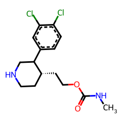 CNC(=O)OCC[C@@H]1CCNCC1c1ccc(Cl)c(Cl)c1